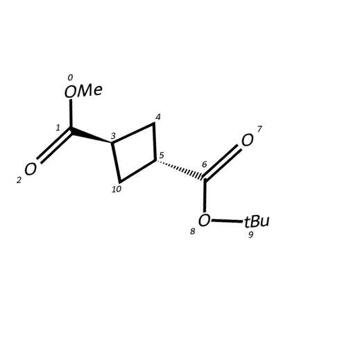 COC(=O)[C@H]1C[C@H](C(=O)OC(C)(C)C)C1